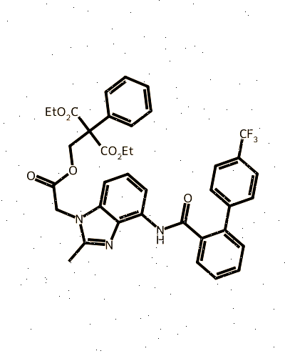 CCOC(=O)C(COC(=O)Cn1c(C)nc2c(NC(=O)c3ccccc3-c3ccc(C(F)(F)F)cc3)cccc21)(C(=O)OCC)c1ccccc1